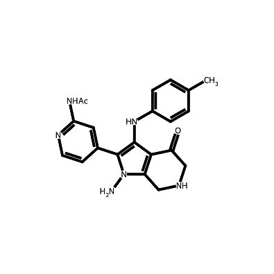 CC(=O)Nc1cc(-c2c(Nc3ccc(C)cc3)c3c(n2N)CNCC3=O)ccn1